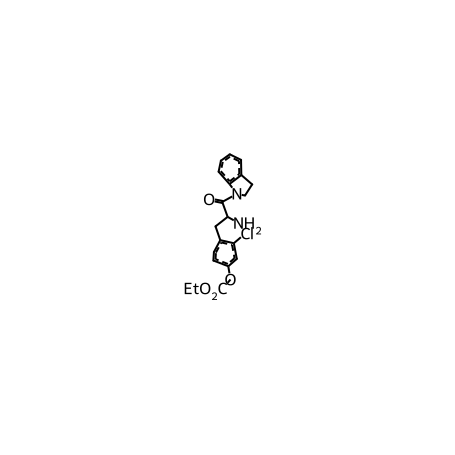 CCOC(=O)Oc1ccc(CC(N)C(=O)N2CCc3ccccc32)c(Cl)c1